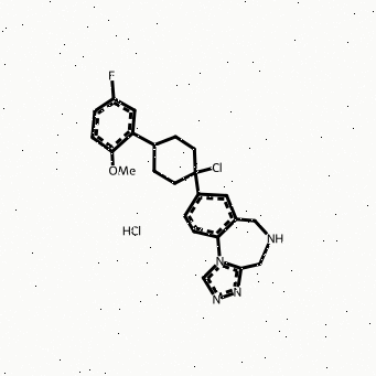 COc1ccc(F)cc1C1CCC(Cl)(c2ccc3c(c2)CNCc2nncn2-3)CC1.Cl